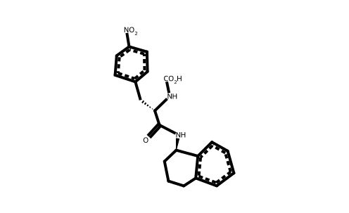 O=C(O)N[C@@H](Cc1ccc([N+](=O)[O-])cc1)C(=O)N[C@@H]1CCCc2ccccc21